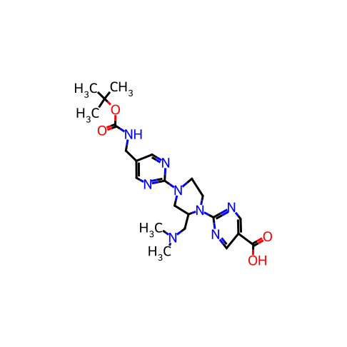 CN(C)CC1CN(c2ncc(CNC(=O)OC(C)(C)C)cn2)CCN1c1ncc(C(=O)O)cn1